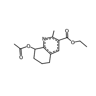 CCOC(=O)c1cc2c(nc1C)C(OC(C)=O)CCC2